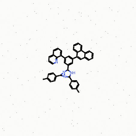 Cc1ccc(C2NC(c3cc(-c4cc5ccccc5c5ccccc45)cc(-c4cccc5cccnc45)c3)N3C(c4ccc(C)cc4)N23)cc1